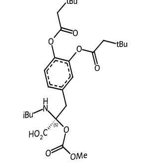 CCC(C)N[C@@](Cc1ccc(OC(=O)CC(C)(C)C)c(OC(=O)CC(C)(C)C)c1)(OC(=O)OC)C(=O)O